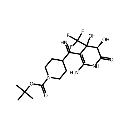 CC(C)(C)OC(=O)N1CCC(C(=N)C2=C(N)NC(=O)[C@H](O)C2(O)C(F)(F)F)CC1